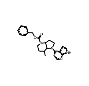 CC1CCN(C(=O)OCc2ccccc2)C2CCN(c3ncnc4[nH]ccc34)C12